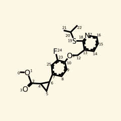 COC(=O)C1CC1c1ccc(OCc2cccnc2SC(C)C)c(F)c1